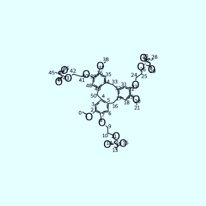 COc1cc2c(cc1OCCOS(C)(=O)=O)Cc1cc(OC)c(OCCOS(C)(=O)=O)cc1Cc1cc(OC)c(OCCOS(C)(=O)=O)cc1C2